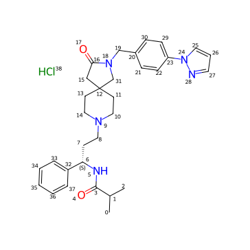 CC(C)C(=O)N[C@@H](CCN1CCC2(CC1)CC(=O)N(Cc1ccc(-n3cccn3)cc1)C2)c1ccccc1.Cl